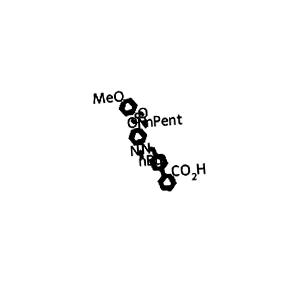 CCCCCN(c1ccc2nc(CCCC)n(Cc3ccc(-c4ccccc4C(=O)O)cc3)c2c1)S(=O)(=O)c1ccc(OC)cc1